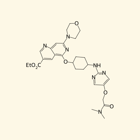 CCOC(=O)c1cnc2cc(N3CCOCC3)nc(OC3CCC(Nc4ncc(OCC(=O)N(C)C)cn4)CC3)c2c1